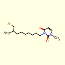 CC(=O)OC(CBr)CCCCCCCn1c(=O)ccn(C)c1=O